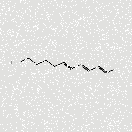 CCCCCCCCCCCC=CC=CC=CC=O